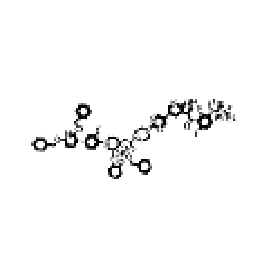 CCN(C)S(=O)(=O)Nc1ccc(F)c(C(=O)c2c[nH]c3ncc(-c4cnc(N5CCN(C(=O)CC6(OP(=O)(OCc7ccccc7)OCc7ccccc7)CCN(c7ccc(-c8ccc(OCc9ccccc9)nc8OCc8ccccc8)cc7F)CC6)CC5)nc4)cc23)c1F